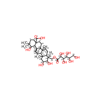 CC1(C)CCC2(C(=O)O)CCC3(C)C(=CCC4C5(C)CC(O)C(O)C(C)(COC(=O)C(O)C(O)C(O)C(O)CO)C5CCC43C)C2C1O